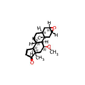 CO[C@H]1C[C@]2(C)C(=O)CC[C@H]2[C@@H]2CC[C@H]3C[C@@H]4O[C@@H]4C[C@]3(C)[C@H]21